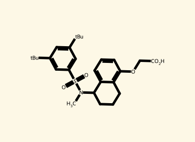 CN(C1CCCc2c(OCC(=O)O)cccc21)S(=O)(=O)c1cc(C(C)(C)C)cc(C(C)(C)C)c1